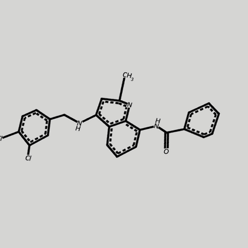 Cc1cc(NCc2ccc(Cl)c(Cl)c2)c2cccc(NC(=O)c3ccccc3)c2n1